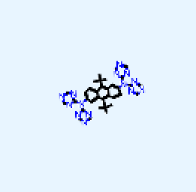 CC(C)(C)c1c2ccc(N(c3ncncn3)c3ncncn3)cc2c(C(C)(C)C)c2ccc(N(c3ncncn3)c3ncncn3)cc12